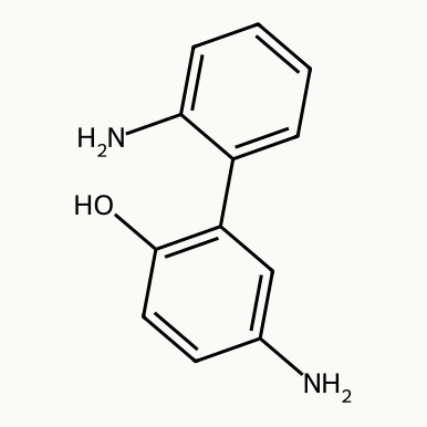 Nc1ccc(O)c(-c2ccccc2N)c1